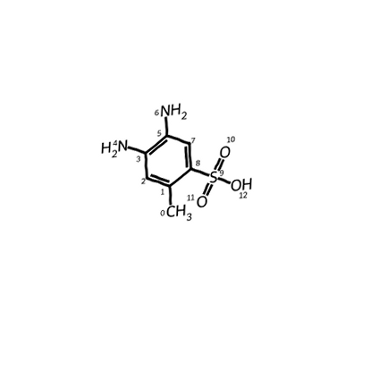 Cc1cc(N)c(N)cc1S(=O)(=O)O